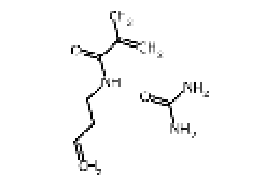 C=CCCNC(=O)C(=C)C.NC(N)=O